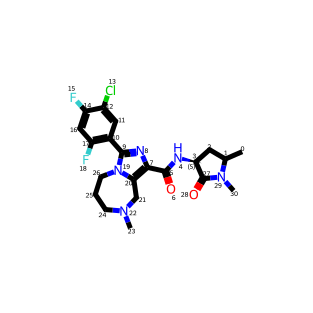 CC1C[C@H](NC(=O)c2nc(-c3cc(Cl)c(F)cc3F)n3c2CN(C)CCC3)C(=O)N1C